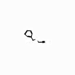 C#CCOC(O)c1ccccc1